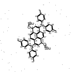 Cc1ccc(N(C2=CC(OC(C)(C)C)c3ccc4c5c(ccc2c35)C(OC(C)(C)C)C=C4N(c2ccc(C)cc2)c2ccc(C)cc2)c2ccc(C)cc2)cc1